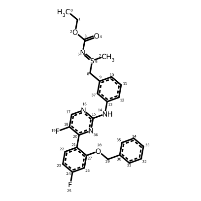 CCOC(=O)/N=S(\C)Cc1cccc(Nc2ncc(F)c(-c3ccc(F)cc3OCc3ccccc3)n2)c1